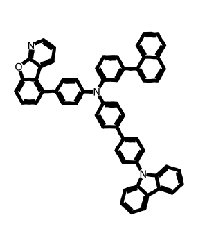 c1cc(-c2cccc3ccccc23)cc(N(c2ccc(-c3ccc(-n4c5ccccc5c5ccccc54)cc3)cc2)c2ccc(-c3cccc4oc5ncccc5c34)cc2)c1